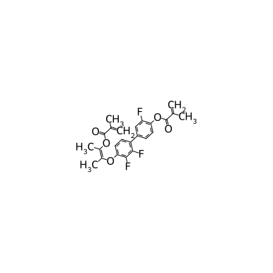 C=C(C)C(=O)OC(C)=C(C)Oc1ccc(-c2ccc(OC(=O)C(=C)C)c(F)c2)c(F)c1F